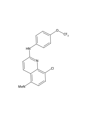 CNc1ccc(Cl)c2nc(Nc3ccc(OC(F)(F)F)cc3)ccc12